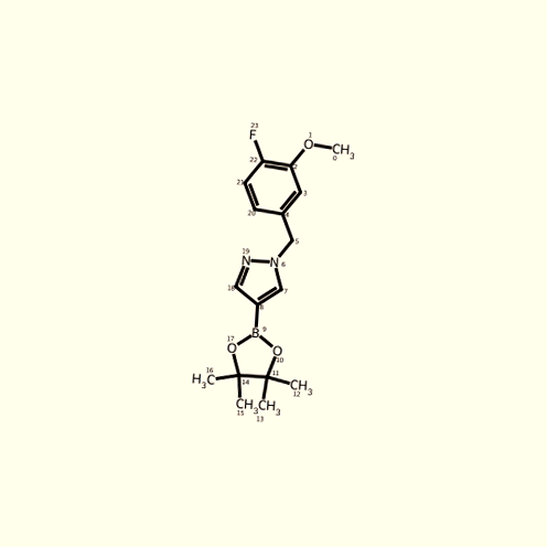 COc1cc(Cn2cc(B3OC(C)(C)C(C)(C)O3)cn2)ccc1F